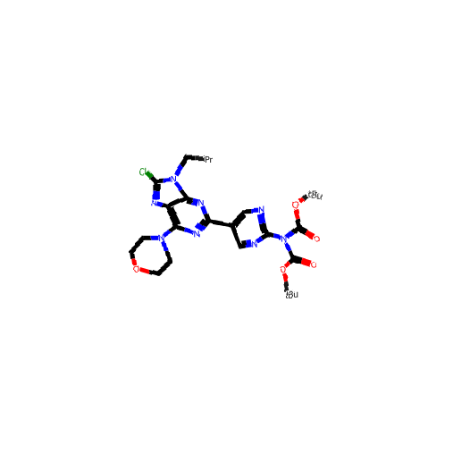 CC(C)Cn1c(Cl)nc2c(N3CCOCC3)nc(-c3cnc(N(C(=O)OC(C)(C)C)C(=O)OC(C)(C)C)nc3)nc21